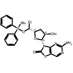 CCC(O[Si](c1ccccc1)(c1ccccc1)C(C)(C)C)[C@@H]1C[C@@H](OC(C)=O)[C@H](n2c(=O)sc3cnc(N)nc32)O1